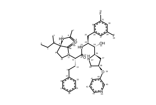 CCC(C)[C@@]1(NC(C)=O)CCN([C@@H](CCc2ccccc2)C(=O)N[C@@H](Cc2cc(F)cc(F)c2)[C@H](O)[C@H]2C[C@@H](Oc3cccnc3)CN2)C1=O